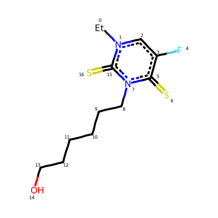 CCn1cc(F)c(=S)n(CCCCCCO)c1=S